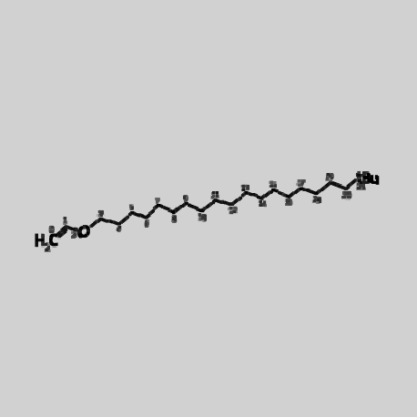 C=COCCCCCCCCCCCCCCCCCCC(C)(C)C